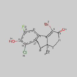 CCC12CCC(=O)C(Br)=C1c1cc(F)c(O)c(Cl)c1C2